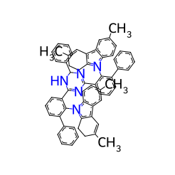 CC1=Cc2c(n(-c3c(C4=NC(c5ccccc5)NC(c5cccc(-c6ccccc6)c5-n5c6c(c7cc(C)ccc75)C=C(C)CC6)=N4)cccc3-c3ccccc3)c3ccc(C)cc23)CC1